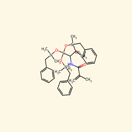 C=C(C)C(=O)NC(CC)[Si](O[Si](C)(C)Cc1ccccc1)(O[Si](C)(C)Cc1ccccc1)O[Si](C)(C)Cc1ccccc1